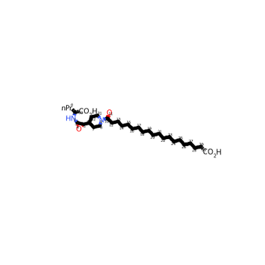 CCCC(NC1OC1C1CCN(C(=O)CCCCCCCCCCCCCCCCCCC(=O)O)CC1)C(=O)O